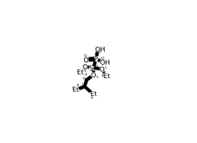 CCO[Si](OCC)(OCC(CC)CC)P(=O)(O)O